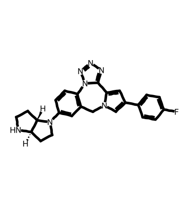 Fc1ccc(-c2cc3n(c2)Cc2cc(N4CC[C@H]5NCC[C@@H]54)ccc2-n2nnnc2-3)cc1